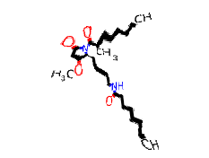 C#CCCC/C=C(\C)C(=O)N1C(=O)C=C(OC)[C@@H]1CCCCNC(=O)CCCCCC#C